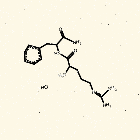 Cl.NC(=O)C(Cc1ccccc1)NC(=O)C(N)CCCN=C(N)N